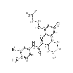 CCc1cc(NC(=O)C(=O)N2C[C@@H](C)CCC2c2cc(Cl)cc(OCCN(C)C)c2)cnc1N